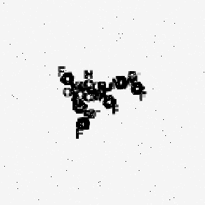 O=C(CCN1CC=C([S+]([O-])c2ccc(F)cc2)CC1)C(OC(=O)C(O)C(O)C(=O)OC(C(=O)CCN1CC=C([S+]([O-])c2ccc(F)cc2)CC1)c1ccc(F)cc1)c1ccc(F)cc1